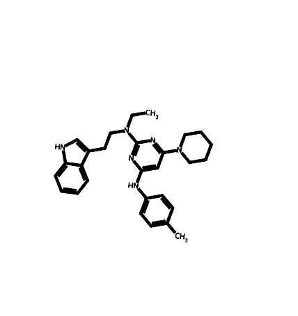 CCN(CCc1c[nH]c2ccccc12)c1nc(Nc2ccc(C)cc2)cc(N2CCCCC2)n1